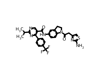 CC(C)c1ncc(C(=O)Nc2ccc3c(c2)CCN3C(=O)Cc2csc(N)n2)c(-c2ccc(C(F)(F)F)cc2)n1